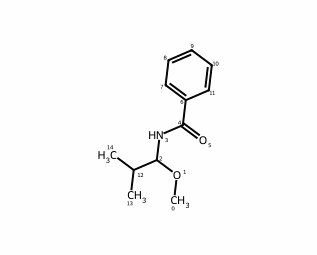 COC(NC(=O)c1ccccc1)C(C)C